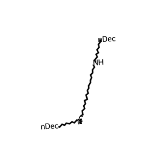 CCCCCCCCCCCCCCCCCCNCCCCCCCCCCCCCCCCCCCCCCN(C)CCCCCCCCCCCCCCCCCC